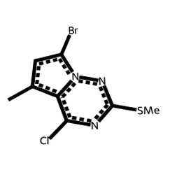 CSc1nc(Cl)c2c(C)cc(Br)n2n1